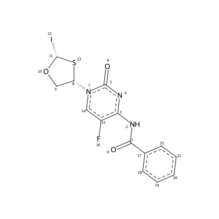 O=C(Nc1nc(=O)n([C@@H]2CO[C@H](I)S2)cc1F)c1ccccc1